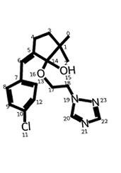 CC1(C)CCC(=Cc2ccc(Cl)cc2)C1(O)OCCn1cncn1